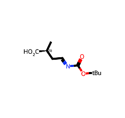 C[C@@H](CC=NC(=O)OC(C)(C)C)C(=O)O